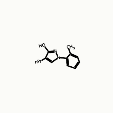 CCCc1cn(-c2ccccc2C)nc1O